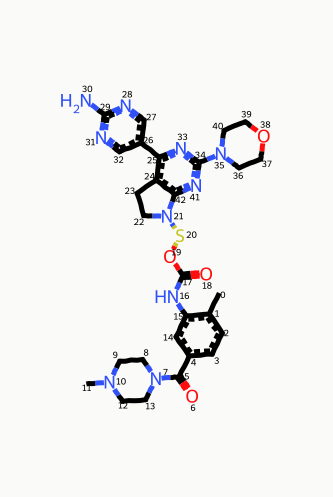 Cc1ccc(C(=O)N2CCN(C)CC2)cc1NC(=O)OSN1CCc2c(-c3cnc(N)nc3)nc(N3CCOCC3)nc21